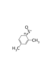 CC1=CC[C@@H]([S+]=O)C(C)=C1